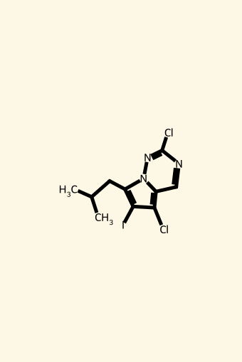 CC(C)Cc1c(I)c(Cl)c2cnc(Cl)nn12